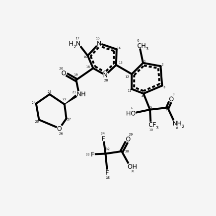 Cc1ccc(C(O)(C(N)=O)C(F)(F)F)cc1-c1cnc(N)c(C(=O)N[C@@H]2CCCOC2)n1.O=C(O)C(F)(F)F